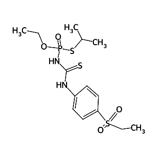 CCOP(=O)(NC(=S)Nc1ccc(S(=O)(=O)CC)cc1)SC(C)C